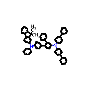 CC1(C)c2ccccc2-c2ccc(N(c3ccccc3)c3ccc(-c4ccc(N(c5ccc(-c6ccccc6)cc5)c5ccc(-c6ccccc6)cc5)cc4-c4ccccc4)cc3)cc21